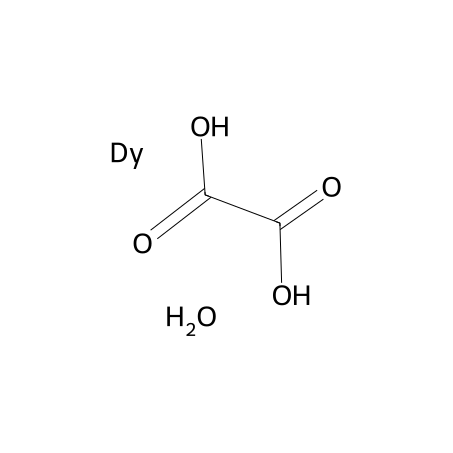 O.O=C(O)C(=O)O.[Dy]